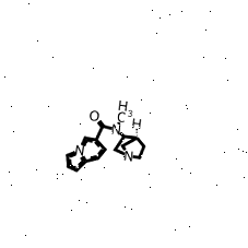 CN(C(=O)c1ccc2cccn2c1)C1CN2CC[C@H]1C2